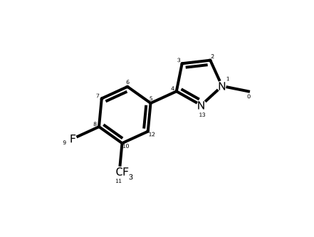 Cn1ccc(-c2ccc(F)c(C(F)(F)F)c2)n1